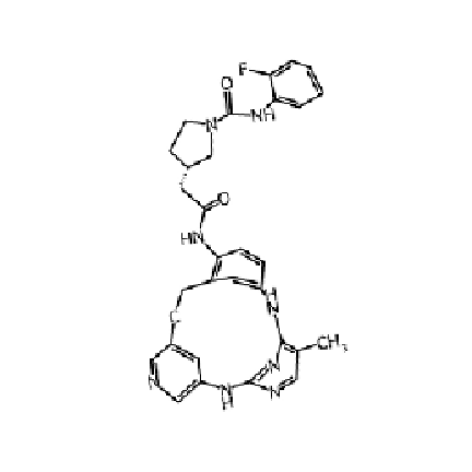 Cc1cnc2nc1Nc1ccc(NC(=O)C[C@@H]3CCN(C(=O)Nc4ccccc4F)C3)c(c1)CCc1cncc(c1)N2